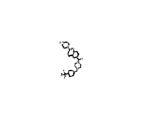 O=C(c1ccc2nc(N3CCNCC3)ccc2c1)N1CCN(Cc2ccc(C(F)(F)F)cc2)CC1